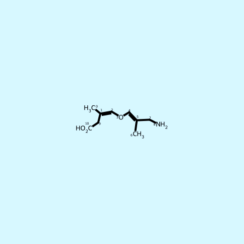 C/C(=C/O/C=C(\C)CN)CC(=O)O